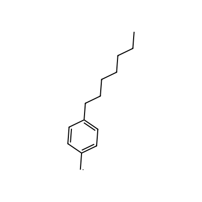 [CH2]c1ccc(CCCCCCC)cc1